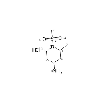 CC1CC(N)CCN1S(C)(=O)=O.Cl